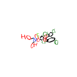 O=C(Oc1cc2c(cc1F)OC(c1ccc(Cl)cc1Cl)(c1ccc(Cl)cc1Cl)O2)N(CCO)CCO